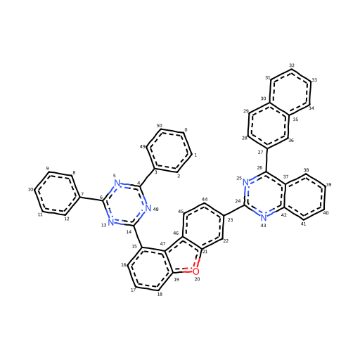 c1ccc(-c2nc(-c3ccccc3)nc(-c3cccc4oc5cc(-c6nc(-c7ccc8ccccc8c7)c7ccccc7n6)ccc5c34)n2)cc1